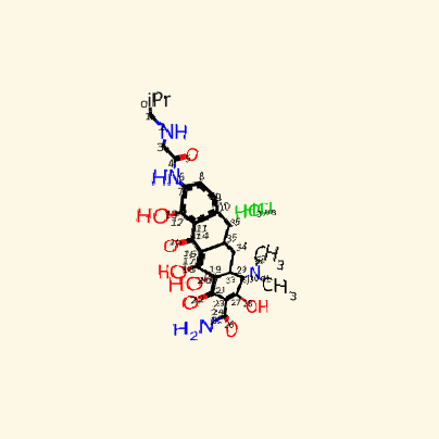 CC(C)CNCC(=O)Nc1ccc2c(c1O)C(=O)C1=C(O)[C@]3(O)C(=O)C(C(N)=O)=C(O)[C@@H](N(C)C)C3CC1C2.Cl.Cl